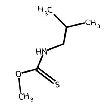 COC(=S)NCC(C)C